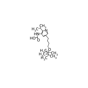 CC(C)c1ncc(CCCCO[Si](C)(C)C(C)(C)C)cc1NC(=O)O